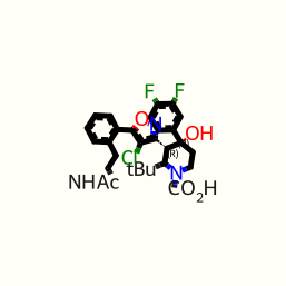 CC(=O)NCCc1ccccc1-c1onc([C@H]2C(C(C)(C)C)N(C(=O)O)CC[C@]2(O)c2ccc(F)c(F)c2)c1Cl